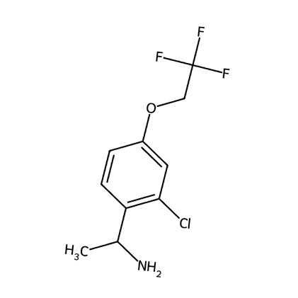 CC(N)c1ccc(OCC(F)(F)F)cc1Cl